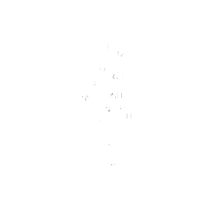 Cc1cc(Oc2cccc3ccoc23)ccc1N1C(=O)Nc2c(C(=O)N[C@@H]3CCCN(C)C3)sc3nccc1c23